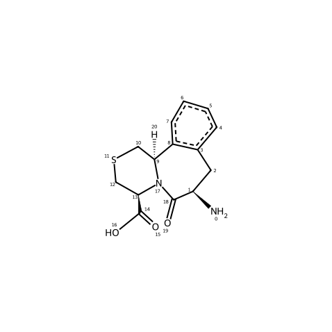 N[C@@H]1Cc2ccccc2[C@@H]2CSC[C@H](C(=O)O)N2C1=O